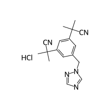 CC(C)(C#N)c1cc(Cn2cncn2)cc(C(C)(C)C#N)c1.Cl